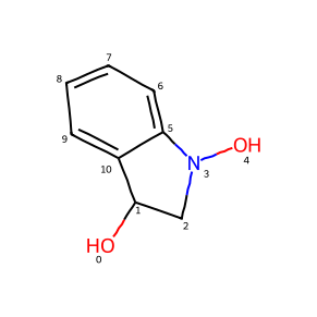 OC1CN(O)c2ccccc21